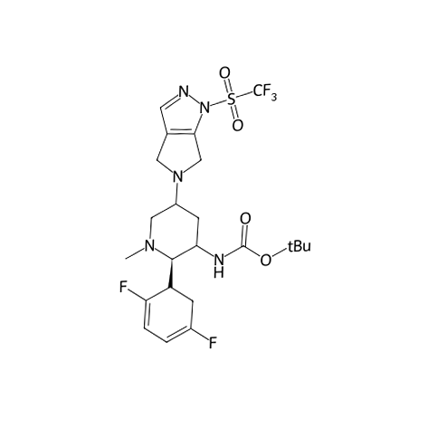 CN1CC(N2Cc3cnn(S(=O)(=O)C(F)(F)F)c3C2)CC(NC(=O)OC(C)(C)C)[C@H]1C1CC(F)=CC=C1F